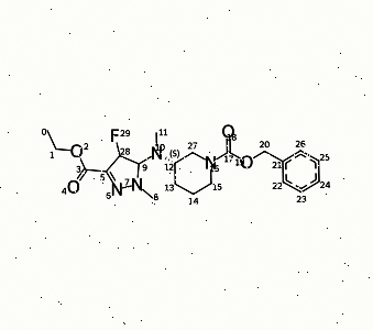 CCOC(=O)C1=NN(C)C(N(C)[C@H]2CCCN(C(=O)OCc3ccccc3)C2)C1F